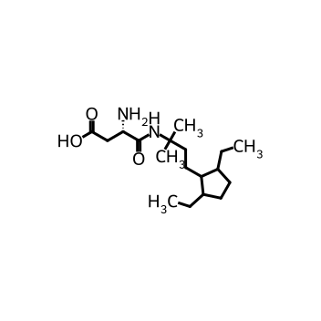 CCC1CCC(CC)C1CCC(C)(C)NC(=O)[C@@H](N)CC(=O)O